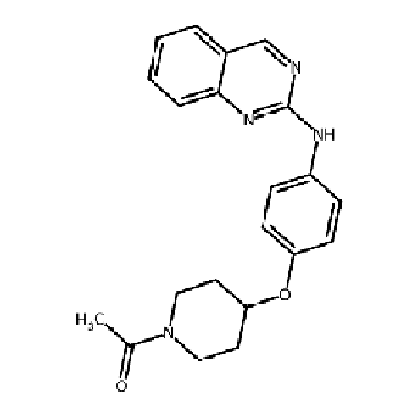 CC(=O)N1CCC(Oc2ccc(Nc3ncc4ccccc4n3)cc2)CC1